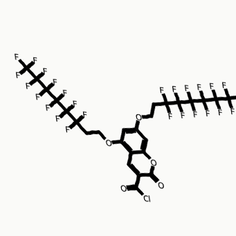 O=C(Cl)c1cc2c(OCCC(F)(F)C(F)(F)C(F)(F)C(F)(F)C(F)(F)C(F)(F)F)cc(OCCC(F)(F)C(F)(F)C(F)(F)C(F)(F)C(F)(F)C(F)(F)F)cc2oc1=O